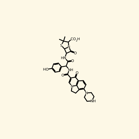 CC1(C)SC2C(NC(=O)C(NC(=O)c3cn4c5c(c(N6CCNCC6)ccc5c3=O)CC4)c3ccc(O)cc3)C(=O)N2C1C(=O)O